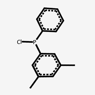 Cc1cc(C)cc(P(Cl)c2ccccc2)c1